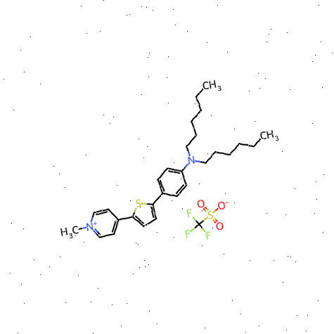 CCCCCCN(CCCCCC)c1ccc(-c2ccc(-c3cc[n+](C)cc3)s2)cc1.O=S(=O)([O-])C(F)(F)F